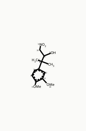 COc1ccc(C(C)(C)C(O)C[N+](=O)[O-])cc1OC